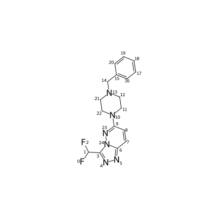 FC(F)c1nnc2ccc(N3CCN(Cc4ccccc4)CC3)nn12